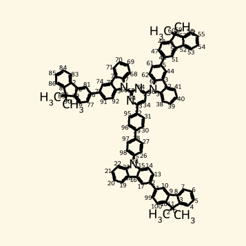 CC1(C)c2ccccc2-c2cc(-c3ccc4c(c3)c3ccccc3n4-c3ccc(-c4ccc(-c5cc(-n6c7ccccc7c7cc(-c8ccc9c(c8)-c8ccccc8C9(C)C)ccc76)nc(-n6c7ccccc7c7cc(-c8ccc9c(c8)-c8ccccc8C9(C)C)ccc76)n5)cc4)cc3)ccc21